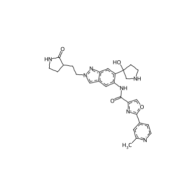 Cc1cc(-c2nc(C(=O)Nc3cc4cn(CCC5CCNC5=O)nc4cc3C3(O)CCNC3)co2)ccn1